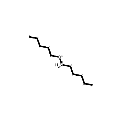 CCCCCO[SiH2]CCCCC